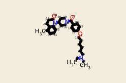 CCN(CC)CCCCCCOc1ccc(C(=O)N2CCC(N3C(=O)CCc4c(C)cccc43)CC2)cc1